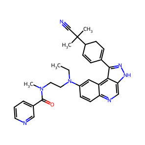 CCN(CCN(C)C(=O)c1cccnc1)c1ccc2ncc3[nH]nc(C4=CCC(C(C)(C)C#N)C=C4)c3c2c1